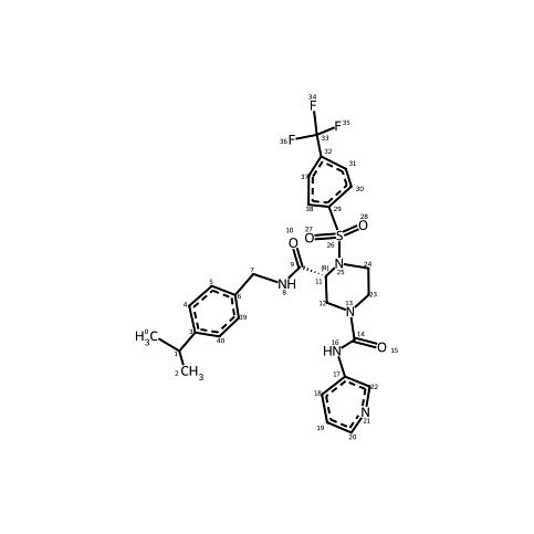 CC(C)c1ccc(CNC(=O)[C@H]2CN(C(=O)Nc3cccnc3)CCN2S(=O)(=O)c2ccc(C(F)(F)F)cc2)cc1